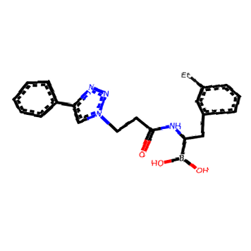 CCc1cccc(CC(NC(=O)CCn2cc(-c3ccccc3)nn2)B(O)O)c1